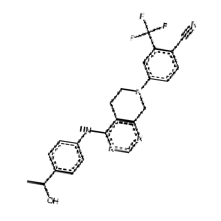 CC(O)c1ccc(Nc2ncnc3c2CCN(c2ccc(C#N)c(C(F)(F)F)c2)C3)cc1